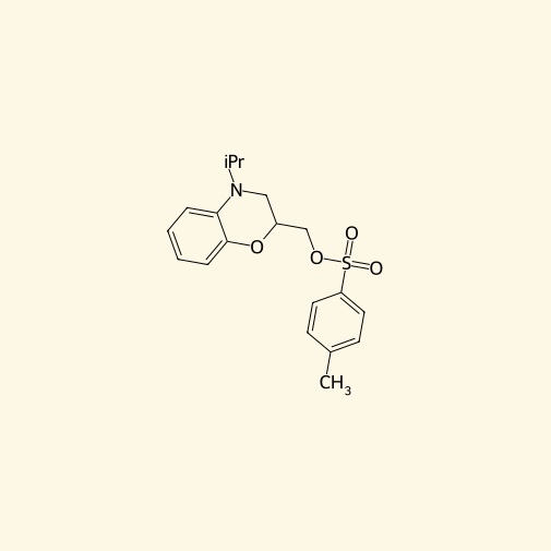 Cc1ccc(S(=O)(=O)OCC2CN(C(C)C)c3ccccc3O2)cc1